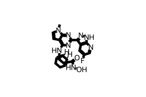 Cn1ccc2c(N[C@H]3C4CCC(CC4)[C@@H]3C(=O)NO)nc(-c3n[nH]c4ncc(F)cc34)nc21